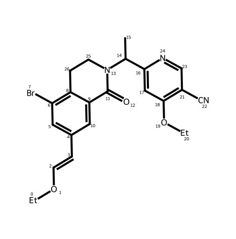 CCOC=Cc1cc(Br)c2c(c1)C(=O)N(C(C)c1cc(OCC)c(C#N)cn1)CC2